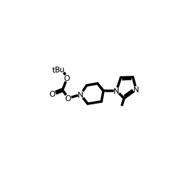 Cc1nccn1C1CCN(OC(=O)OC(C)(C)C)CC1